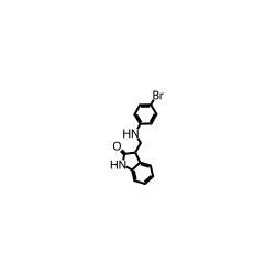 O=C1Nc2ccccc2C1CNc1ccc(Br)cc1